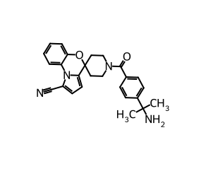 CC(C)(N)c1ccc(C(=O)N2CCC3(CC2)Oc2ccccc2-n2c(C#N)ccc23)cc1